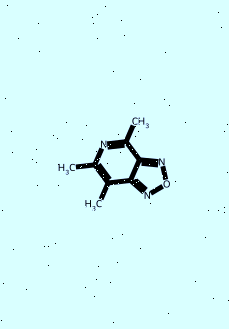 Cc1nc(C)c2nonc2c1C